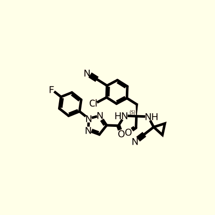 N#Cc1ccc(C[C@@](C=O)(NC(=O)c2cnn(-c3ccc(F)cc3)n2)NC2(C#N)CC2)cc1Cl